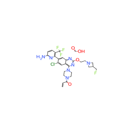 C=CC(=O)N1CCN(c2nc(OCCN3CC(CF)C3)nc3cc(-c4nc(N)ccc4C(F)(F)F)c(Cl)cc23)CC1.O=CO